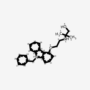 CC(C)(CO)NCCOc1cccc2c1c1ccccc1n2Cc1ccccc1